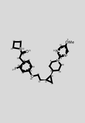 COc1cnc(N2CCC([C@H]3C[C@H]3CCOc3ccc(CC(=O)N4CCC4)c(F)c3)CC2)nc1